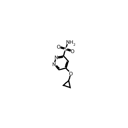 NS(=O)(=O)c1cc(OC2CC2)cnn1